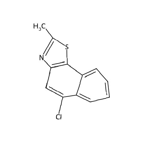 Cc1nc2cc(Cl)c3ccccc3c2s1